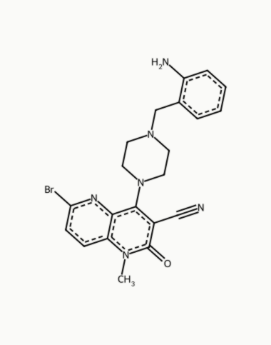 Cn1c(=O)c(C#N)c(N2CCN(Cc3ccccc3N)CC2)c2nc(Br)ccc21